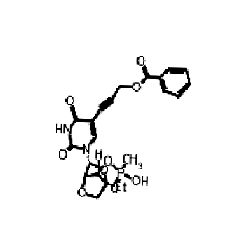 CC[C@]12COC([C@H](n3cc(C#CCOC(=O)c4ccccc4)c(=O)[nH]c3=O)O1)[C@@H]2OP(C)(=O)O